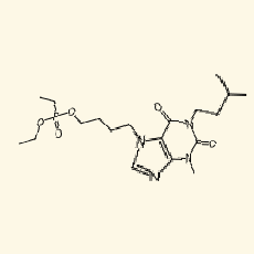 CCOP(=O)(CC)OCCCCn1cnc2c1c(=O)n(CCC(C)C)c(=O)n2C